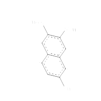 O=S(=O)(O)c1cc2ccc(O)cc2cc1S(=O)(=O)O